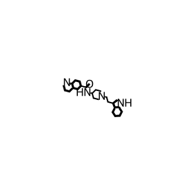 O=C(NC1CCN(CCc2c[nH]c3ccccc23)CC1)c1ccc2ncccc2c1